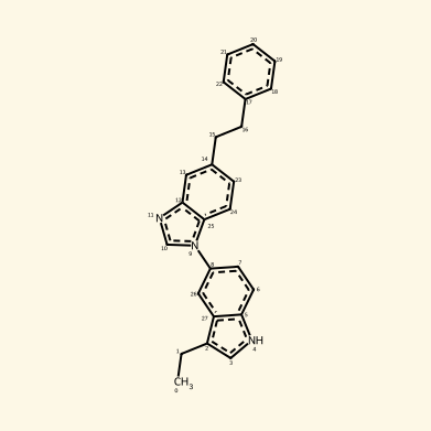 CCc1c[nH]c2ccc(-n3cnc4cc(CCc5ccccc5)ccc43)cc12